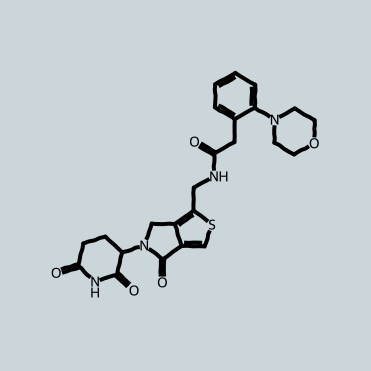 O=C(Cc1ccccc1N1CCOCC1)NCc1scc2c1CN(C1CCC(=O)NC1=O)C2=O